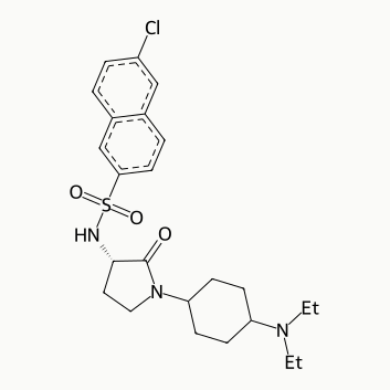 CCN(CC)C1CCC(N2CC[C@H](NS(=O)(=O)c3ccc4cc(Cl)ccc4c3)C2=O)CC1